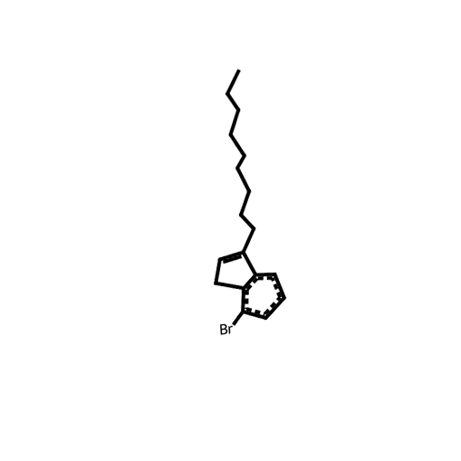 CCCCCCCCCC1=CCc2c(Br)cccc21